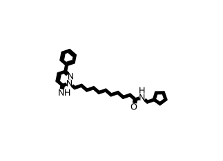 N=c1ccc(-c2ccccc2)nn1CCCCCCCCCCC(=O)NCC1CCCC1